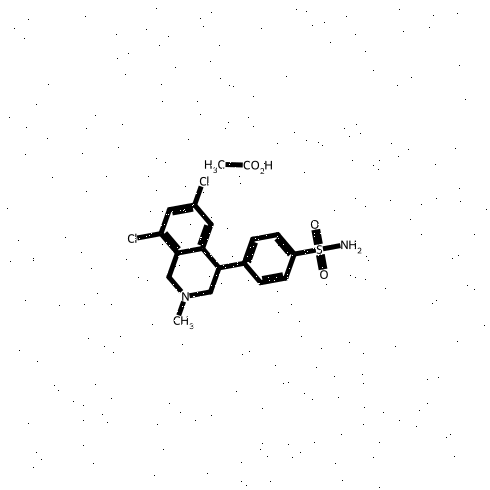 CC(=O)O.CN1Cc2c(Cl)cc(Cl)cc2C(c2ccc(S(N)(=O)=O)cc2)C1